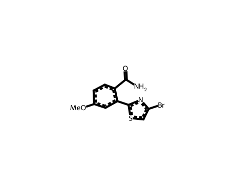 COc1ccc(C(N)=O)c(-c2nc(Br)cs2)c1